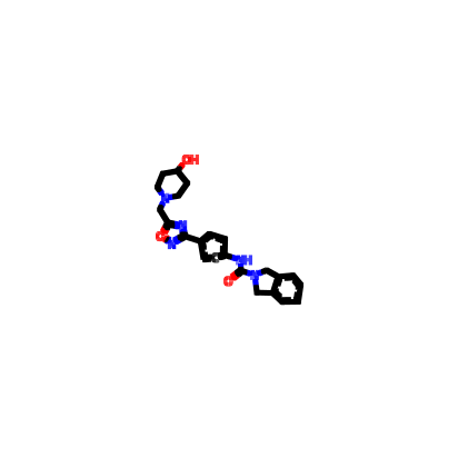 O=C(Nc1ccc(-c2noc(CN3CCC(O)CC3)n2)cc1)N1Cc2ccccc2C1